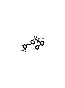 CCCC(Oc1ccccc1-c1ccccc1)C(=O)N1CCC(CCc2ccc3c(c2)OCO3)CC1